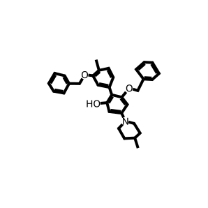 Cc1ccc(-c2c(O)cc(N3CCC(C)CC3)cc2OCc2ccccc2)cc1OCc1ccccc1